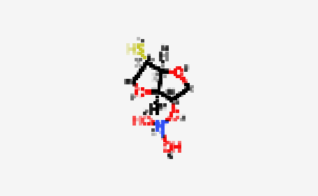 ON(O)O[C@@H]1CO[C@H]2[C@@H]1OC[C@@H]2S